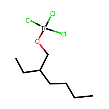 CCCCC(CC)C[O][Ti]([Cl])([Cl])[Cl]